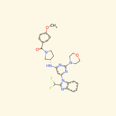 COc1ccc(C(=O)N2CC[C@H](Nc3cc(-n4c(C(F)F)nc5ccccc54)nc(N4CCOCC4)n3)C2)cc1